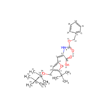 CC(C)(C)c1oc(C=C(NC(=O)OCc2ccccc2)C(=O)O)cc1CO[Si](C)(C)C(C)(C)C